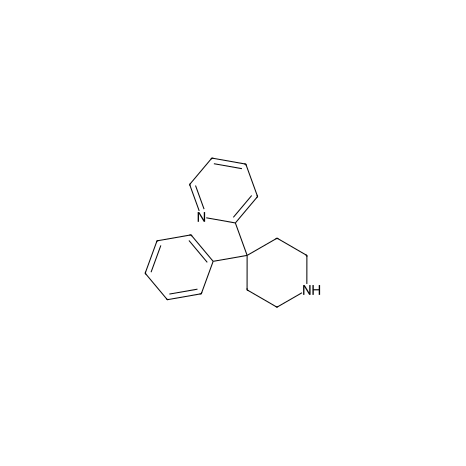 c1ccc(C2(c3ccccn3)CCNCC2)cc1